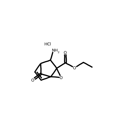 CCOC(=O)C12OC13C=CC(C3=O)C2N.Cl